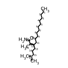 CCCCCCCCCCCCC(CCCN(C)C)=C(C)C(N)=O